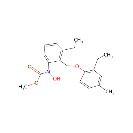 CCc1cc(C)ccc1OCc1c(CC)cccc1N(O)C(=O)OC